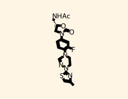 CC(=O)NC[C@H]1CN(c2ccc(N3C=NN(c4nc(C)cs4)CC3)c(F)c2)C(=O)O1